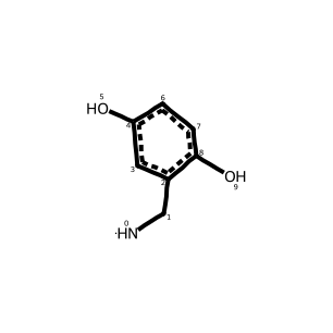 [NH]Cc1cc(O)ccc1O